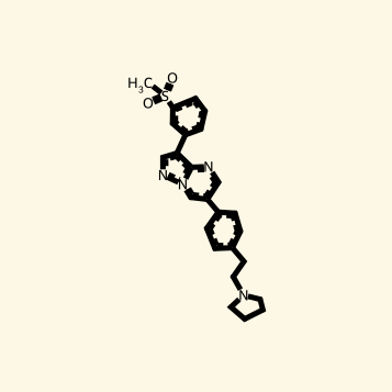 CS(=O)(=O)c1cccc(-c2cnn3cc(-c4ccc(CCN5CCCC5)cc4)cnc23)c1